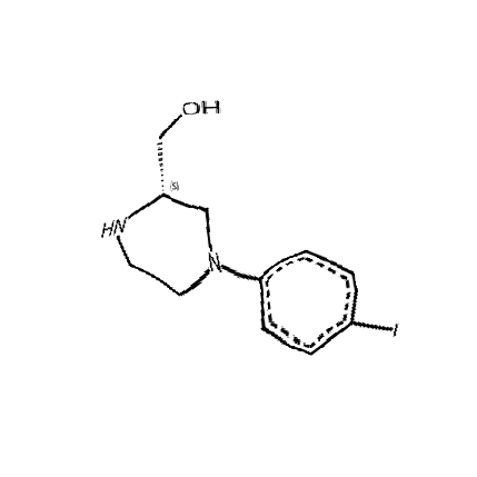 OC[C@@H]1CN(c2ccc(I)cc2)CCN1